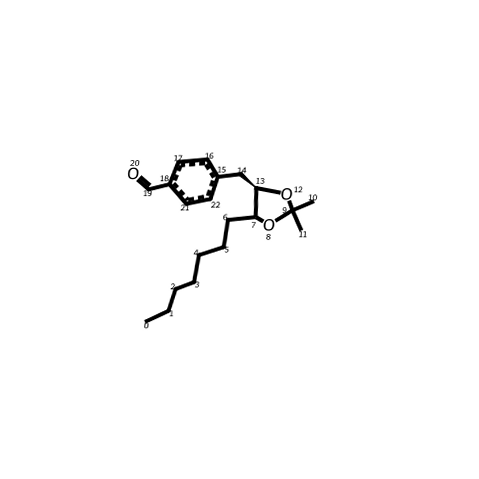 CCCCCCCC1OC(C)(C)O[C@@H]1Cc1ccc(C=O)cc1